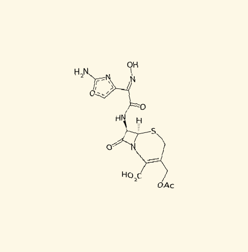 CC(=O)OCC1=C(C(=O)O)N2C(=O)[C@@H](NC(=O)/C(=N/O)c3coc(N)n3)[C@H]2SC1